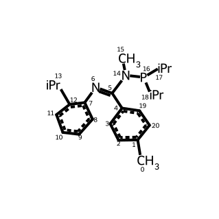 Cc1ccc(/C(=N\c2ccccc2C(C)C)N(C)P(C(C)C)C(C)C)cc1